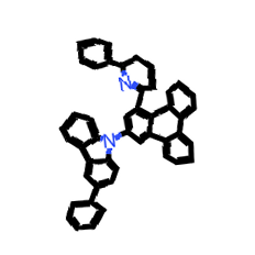 C1=CC(c2cc(-n3c4ccccc4c4cc(-c5ccccc5)ccc43)cc3c4ccccc4c4ccccc4c23)=NC(c2ccccc2)C1